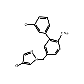 COc1ncc(Cn2cc(Cl)cn2)cc1-c1cccc(Cl)c1